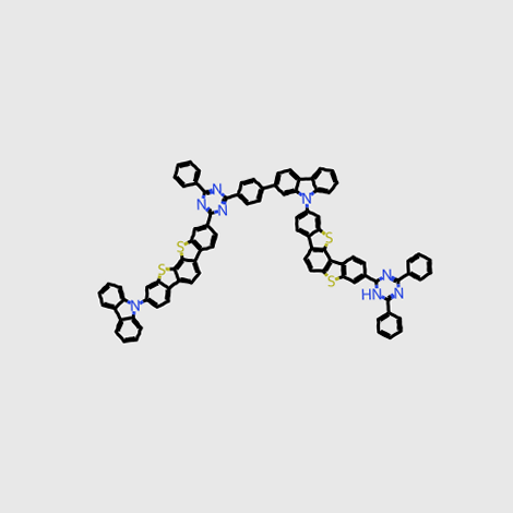 c1ccc(C2=NC(c3ccc4c(c3)sc3ccc5c6ccc(-n7c8ccccc8c8ccc(-c9ccc(-c%10nc(-c%11ccccc%11)nc(-c%11ccc%12c(c%11)sc%11c%12ccc%12c%13ccc(-n%14c%15ccccc%15c%15ccccc%15%14)cc%13sc%12%11)n%10)cc9)cc87)cc6sc5c34)NC(c3ccccc3)=N2)cc1